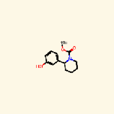 CC(C)(C)OC(=O)N1CCCCC1c1cccc(O)c1